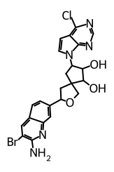 Nc1nc2cc(C3CC4(CO3)CC(n3ccc5c(Cl)ncnc53)C(O)C4O)ccc2cc1Br